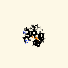 C[Si](C)(C)c1ccc(CP(C23CC4CC(CC(C4)C2)C3)C23CC4CC(CC(C4)C2)C3)c(C(P)(c2cccnc2)c2cccnc2)c1